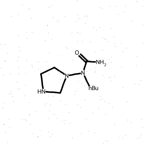 CCCCN(C(N)=O)N1CCNC1